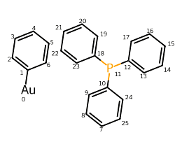 [Au][c]1ccccc1.c1ccc(P(c2ccccc2)c2ccccc2)cc1